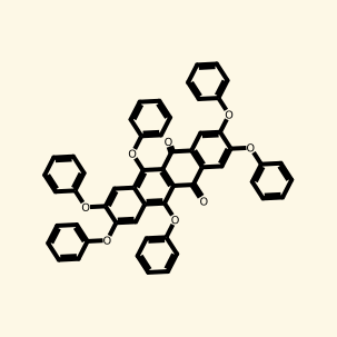 O=C1c2cc(Oc3ccccc3)c(Oc3ccccc3)cc2C(=O)c2c1c(Oc1ccccc1)c1cc(Oc3ccccc3)c(Oc3ccccc3)cc1c2Oc1ccccc1